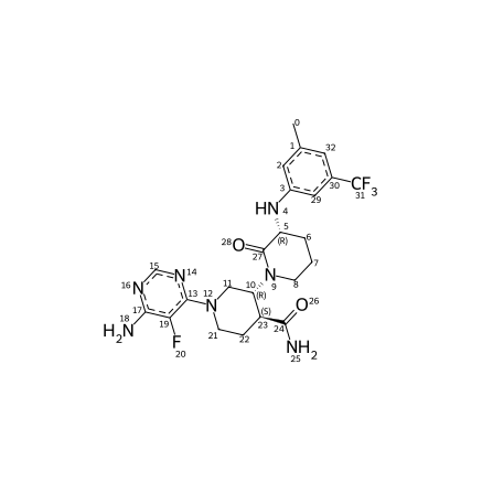 Cc1cc(N[C@@H]2CCCN([C@H]3CN(c4ncnc(N)c4F)CC[C@@H]3C(N)=O)C2=O)cc(C(F)(F)F)c1